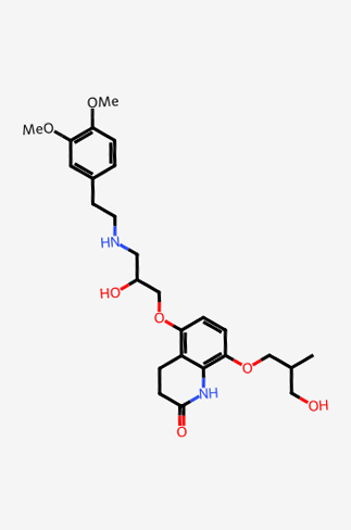 COc1ccc(CCNCC(O)COc2ccc(OCC(C)CO)c3c2CCC(=O)N3)cc1OC